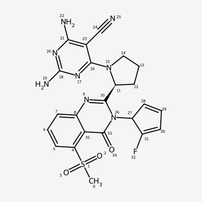 CS(=O)(=O)c1cccc2nc([C@@H]3CCCN3c3nc(N)nc(N)c3C#N)n(C3C=CC=C3F)c(=O)c12